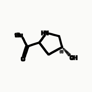 CC(C)(C)C(=O)C1C[C@@H](O)CN1